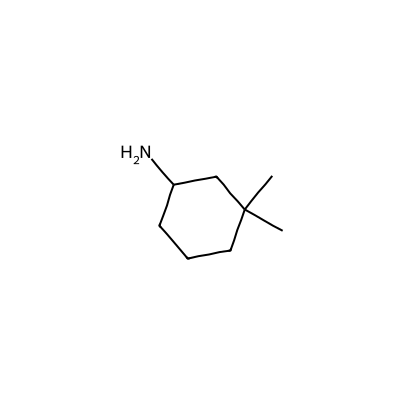 CC1(C)CCCC(N)C1